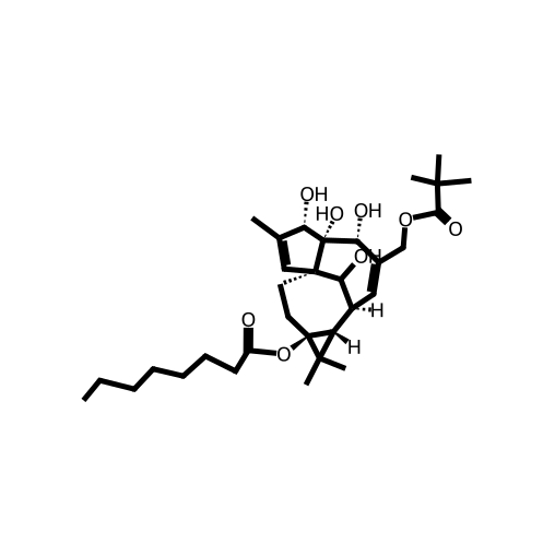 CCCCCCCC(=O)O[C@@]12CC[C@]34C=C(C)[C@H](O)[C@@]3(O)[C@H](O)C(COC(=O)C(C)(C)C)=C[C@H](C4O)[C@@H]1C2(C)C